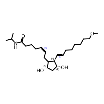 COCCCCCC/C=C/[C@@H]1C(C/C=C\CCCC(=O)NC(C)C)[C@@H](O)C[C@H]1O